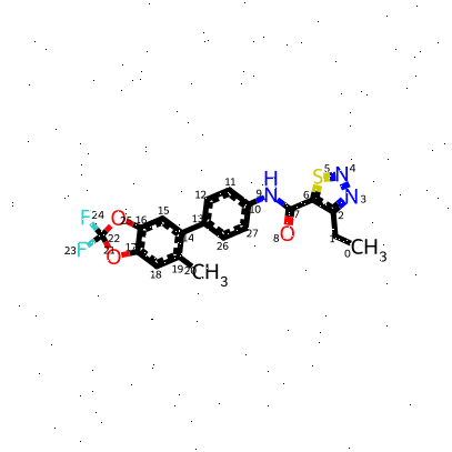 CCc1nnsc1C(=O)Nc1ccc(-c2cc3c(cc2C)OC(F)(F)O3)cc1